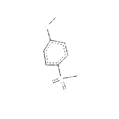 O=S(=O)(F)c1ccc(OCl)cc1